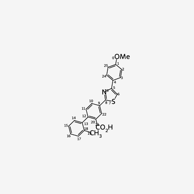 COc1ccc(-c2csc(-c3ccc(-c4ccccc4C)c(C(=O)O)c3)n2)cc1